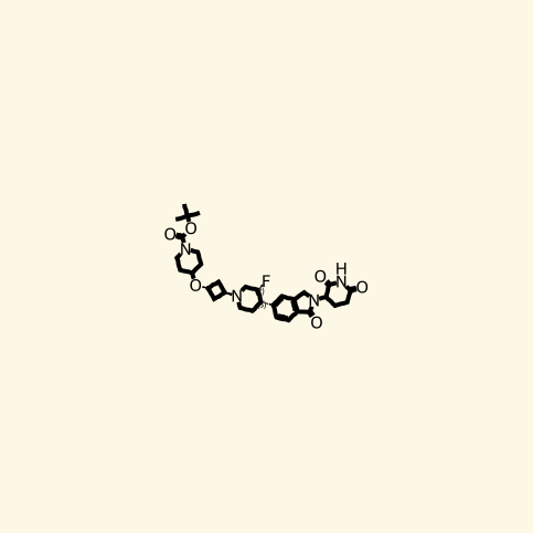 CC(C)(C)OC(=O)N1CCC(O[C@H]2C[C@H](N3CC[C@@H](c4ccc5c(c4)CN(C4CCC(=O)NC4=O)C5=O)[C@@H](F)C3)C2)CC1